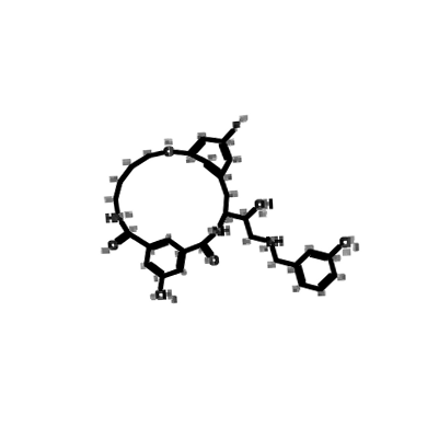 Cc1cc2cc(c1)C(=O)NC(C(O)CNCc1cccc(C(F)(F)F)c1)Cc1cc(F)cc(c1)OCCCCNC2=O